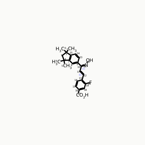 CC1(C)CC(C)(C)c2cc(C(/C=C/c3ccc(C(=O)O)cc3F)=N\O)ccc21